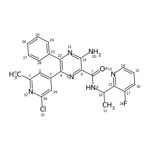 Cc1cc(-c2nc(C(=O)NC(C)c3ncccc3F)c(N)nc2-c2ccccc2)cc(Cl)n1